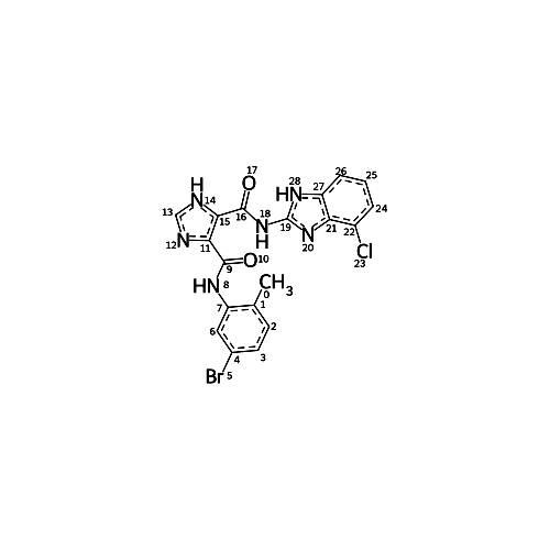 Cc1ccc(Br)cc1NC(=O)c1nc[nH]c1C(=O)Nc1nc2c(Cl)cccc2[nH]1